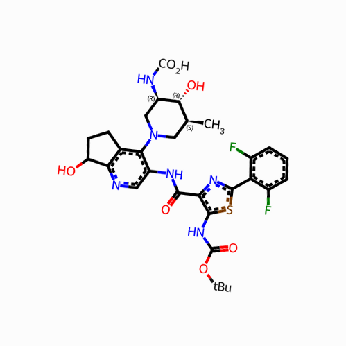 C[C@H]1CN(c2c(NC(=O)c3nc(-c4c(F)cccc4F)sc3NC(=O)OC(C)(C)C)cnc3c2CCC3O)C[C@@H](NC(=O)O)[C@@H]1O